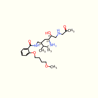 COCCCCOc1ccccc1C(=O)NC[C@@H](C[C@H](N)[C@@H](O)CNCC(C)=O)C(C)C